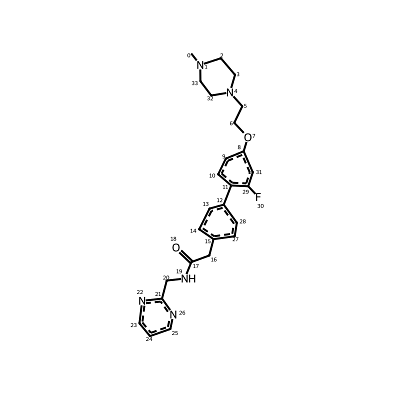 CN1CCN(CCOc2ccc(-c3ccc(CC(=O)NCc4ncccn4)cc3)c(F)c2)CC1